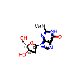 CNc1nc2c(ncn2[C@@H]2C[C@@H](O)[C@H](CO)O2)c(=O)[nH]1